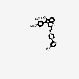 CCOC(=O)Oc1c(-c2ccc(OC)cc2)n2c3c(cccc13)OC(CCN1CCN(c3cc(C)ccn3)CC1)C2